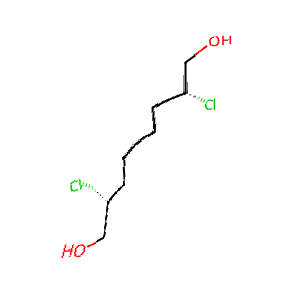 OC[C@H](Cl)CCCC[C@@H](Cl)CO